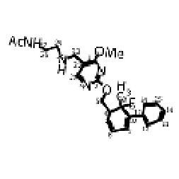 COc1nc(OCC2C=CC=C(c3ccccc3)C2(C)F)ncc1CNCCNC(C)=O